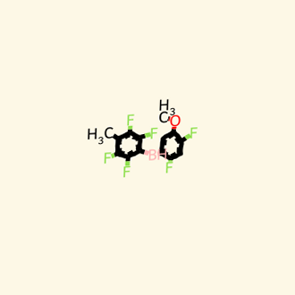 COc1cc(Bc2c(F)c(F)c(C)c(F)c2F)c(F)cc1F